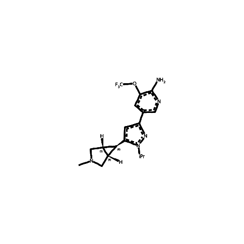 CC(C)n1nc(-c2cnc(N)c(OC(F)(F)F)c2)cc1[C@H]1[C@@H]2CN(C)C[C@@H]21